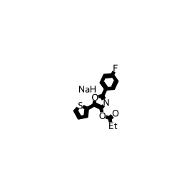 CCC(=O)Oc1nc(-c2ccc(F)cc2)oc1-c1cccs1.[NaH]